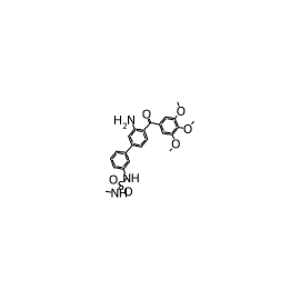 CNS(=O)(=O)Nc1cccc(-c2ccc(C(=O)c3cc(OC)c(OC)c(OC)c3)c(N)c2)c1